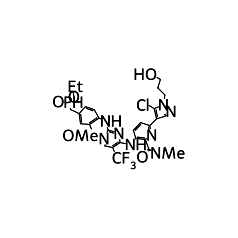 CCO[PH](=O)Cc1ccc(Nc2ncc(C(F)(F)F)c(Nc3ccc(-c4cnn(CCCO)c4Cl)nc3C(=O)NC)n2)c(OC)c1